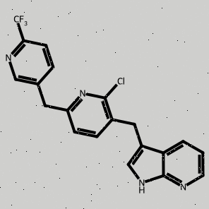 FC(F)(F)c1ccc([CH]c2ccc(Cc3c[nH]c4ncccc34)c(Cl)n2)cn1